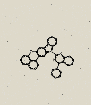 c1ccc(-c2nc(-n3c4ccccc4c4cc5c(cc43)-c3cccc4cccc(c34)O5)nc3ccccc23)cc1